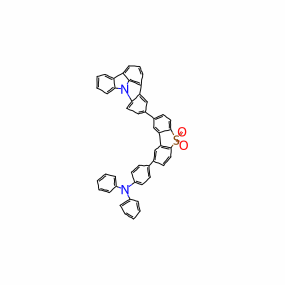 O=S1(=O)c2ccc(-c3ccc(N(c4ccccc4)c4ccccc4)cc3)cc2-c2cc(-c3ccc4c(c3)c3cccc5c6ccccc6n4c53)ccc21